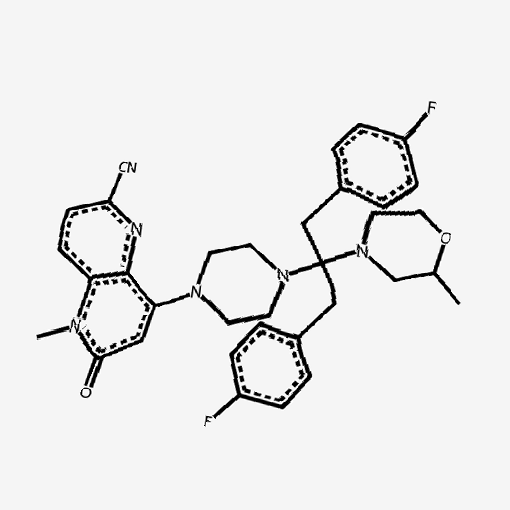 CC1CN(C(Cc2ccc(F)cc2)(Cc2ccc(F)cc2)N2CCN(c3cc(=O)n(C)c4ccc(C#N)nc34)CC2)CCO1